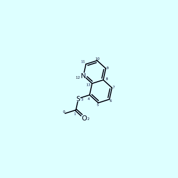 CC(=O)Sc1cccc2cccnc12